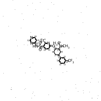 CCc1nc(O[C@H]2CC[C@H](c3cccc(C(F)(F)F)c3)C[C@@H]2N(C)C)ccc1S(=O)(=O)Nc1ccncn1